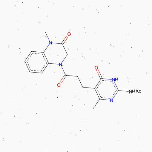 CC(=O)Nc1nc(C)c(CCC(=O)N2CC(=O)N(C)c3ccccc32)c(=O)[nH]1